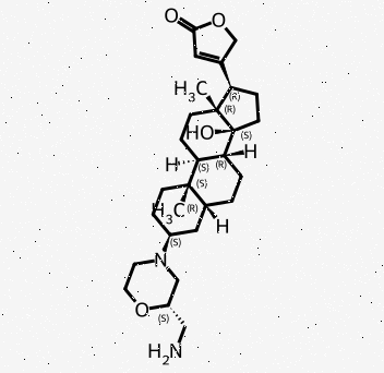 C[C@]12CC[C@H](N3CCO[C@@H](CN)C3)C[C@H]1CC[C@@H]1[C@@H]2CC[C@]2(C)[C@@H](C3=CC(=O)OC3)CC[C@]12O